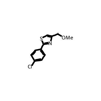 CO[CH]c1csc(-c2ccc(Cl)cc2)n1